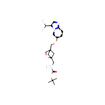 CC(C)(C)OC(=O)NCC12CC(COc3ccc4ncc(C(F)F)n4c3)(CO1)C2